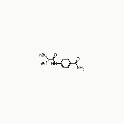 CCCCN(CCCC)C(=O)Nc1ccc(C(N)=O)cc1